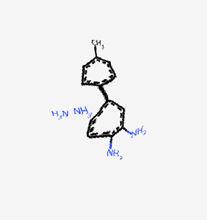 Cc1ccc(-c2ccc(N)c(N)c2)cc1.N.N